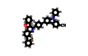 N#Cc1ccc2c3cc(-c4ccc(-c5nc6c(ccc7c8ccccc8sc76)c6oc7ccccc7c56)cc4)ccc3n(-c3ccccc3)c2c1